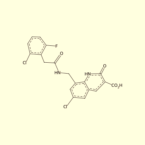 O=C(Cc1c(F)cccc1Cl)NCc1cc(Cl)cc2cc(C(=O)O)c(=O)[nH]c12